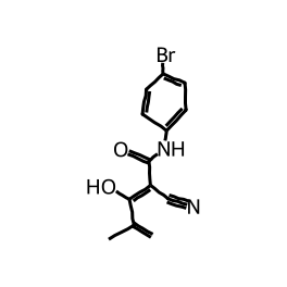 C=C(C)/C(O)=C(\C#N)C(=O)Nc1ccc(Br)cc1